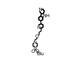 CC(C)(C)OC(=O)N1CCN(CCOCCCc2ccc(-c3ccc4c(c3)[nH]c3ccncc34)cn2)CC1